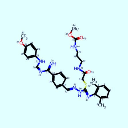 Cc1cccc(C)c1/N=C(/N/N=C/c1ccc(C(=N)/N=C\Nc2ccc(OC(F)(F)F)cc2)cc1)SCC(=O)NCCCNC(=O)OC(C)(C)C